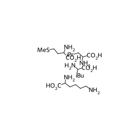 CC(C)CC(N)C(=O)O.CCC(C)C(N)C(=O)O.CSCCC(N)C(=O)O.NCCCCC(N)C(=O)O